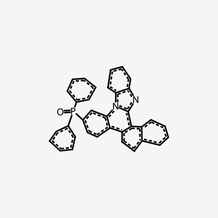 O=P(c1ccccc1)(c1ccccc1)c1ccc2c3ccc4ccccc4c3c3nc4ccccc4n3c2c1